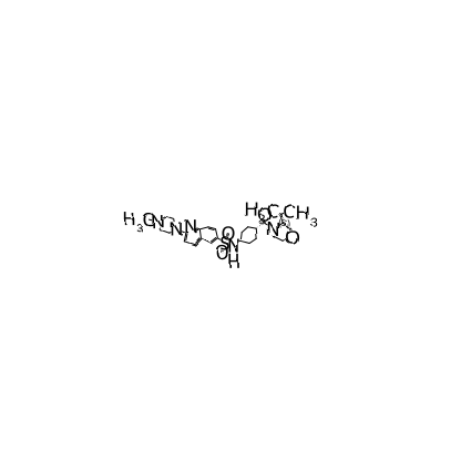 CC(C)[C@H]1COCCN1C(=O)[C@H]1CC[C@H](NS(=O)(=O)c2ccc3nc(N4CCN(C)CC4)ccc3c2)CC1